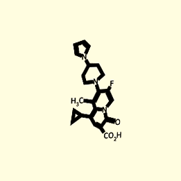 Cc1c(N2CCC(n3cccc3)CC2)c(F)cn2c(=O)c(C(=O)O)cc(C3CC3)c12